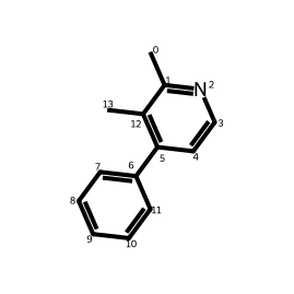 Cc1nccc(-c2ccccc2)c1C